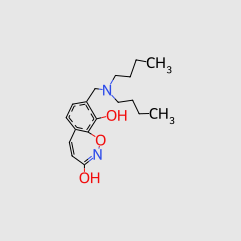 CCCCN(CCCC)Cc1ccc2c(c1O)ON=C(O)C=C2